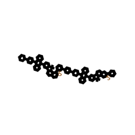 CC1(C)c2ccc(-c3c4ccccc4c(C4=CC=C(c5ccc(-c6cccc7c6sc6ccc8ccc9c(c8c67)C(C)(C)c6ccc(-c7c8ccccc8c(-c8ccc(C%10=CC=CCC%10)cc8)c8ccccc78)cc6-9)cc5)CC4)c4ccccc34)cc2-c2ccc3cc4c(cc3c21)sc1ccccc14